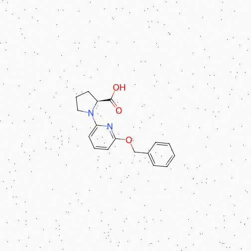 O=C(O)[C@@H]1CCCN1c1cccc(OCc2ccccc2)n1